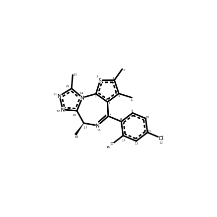 Cc1sc2c(c1C)C(c1ccc(Cl)cc1F)=N[C@@H](C)c1nnc(C)n1-2